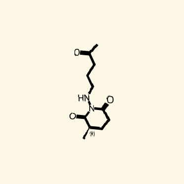 CC(=O)CCCNN1C(=O)CC[C@@H](C)C1=O